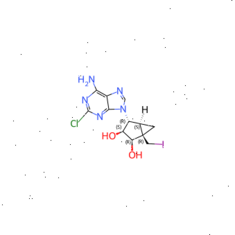 Nc1nc(Cl)nc2c1ncn2[C@H]1[C@H](O)[C@H](O)[C@@]2(CI)C[C@H]12